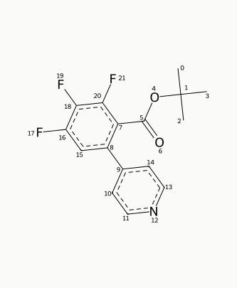 CC(C)(C)OC(=O)c1c(-c2ccncc2)cc(F)c(F)c1F